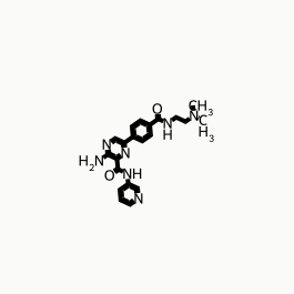 CN(C)CCNC(=O)c1ccc(-c2cnc(N)c(C(=O)Nc3cccnc3)n2)cc1